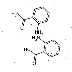 NC(=O)c1ccccc1N.Nc1ccccc1C(=O)O